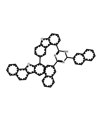 c1ccc2cc(C3=NC(c4ccc5ccccc5c4)NC(c4cccc5oc6ccc(-c7cccc8c7oc7c9ccccc9ccc87)cc6c45)=N3)ccc2c1